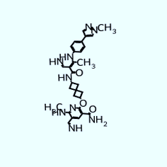 CNc1nc(O[C@H]2CC3(C[C@H](NC(=O)/C(C=N)=C(\C)Nc4ccc(-c5cnn(C)c5)cc4)C3)C2)c(C(N)=O)cc1C=N